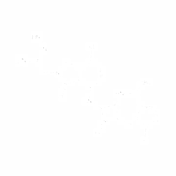 Cc1ccc([C@H](Nc2c(Nc3ccc(Cl)c4c3C(=O)N(CC(=N)N=N)C4)c(=O)c2=O)C(C)(C)C)o1